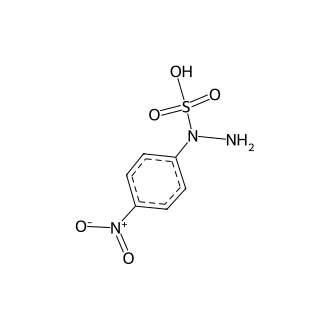 NN(c1ccc([N+](=O)[O-])cc1)S(=O)(=O)O